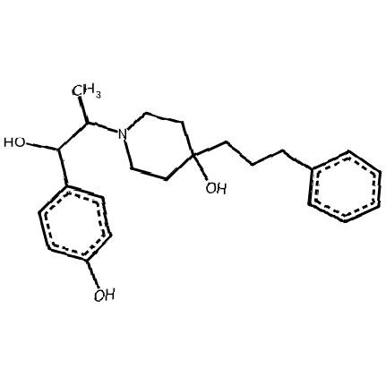 CC(C(O)c1ccc(O)cc1)N1CCC(O)(CCCc2ccccc2)CC1